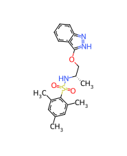 Cc1cc(C)c(S(=O)(=O)N[C@@H](C)COc2[nH]nc3ccccc23)c(C)c1